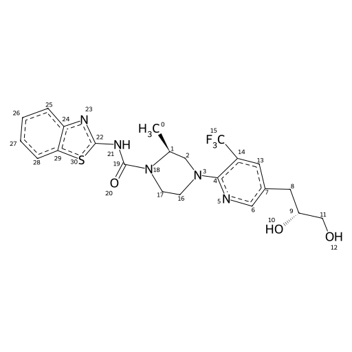 C[C@H]1CN(c2ncc(C[C@@H](O)CO)cc2C(F)(F)F)CCN1C(=O)Nc1nc2ccccc2s1